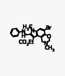 CCOC(=O)c1c(CNc2ccccc2)n(C)c2cc(Br)c3c(c12)CN(C)CO3